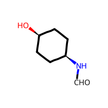 O=CN[C@H]1CC[C@@H](O)CC1